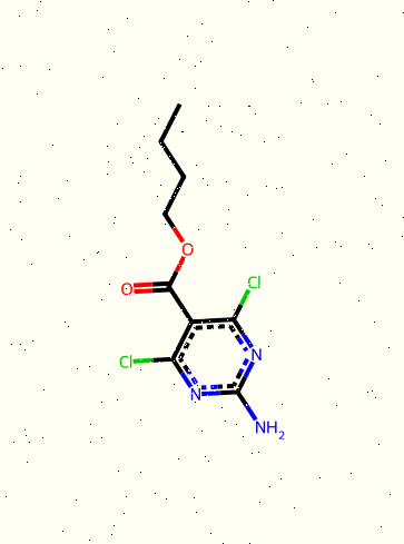 CCCCOC(=O)c1c(Cl)nc(N)nc1Cl